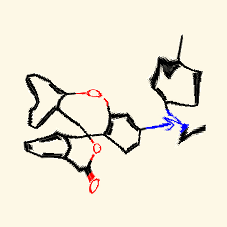 CCN(c1ccc(C)cc1)c1ccc2c(c1)Oc1ccccc1C21OC(=O)c2ccccc21